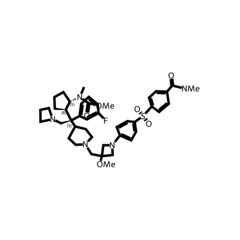 CNC(=O)c1ccc(S(=O)(=O)c2ccc(N3CC(CN4CCC([C@@](CN5CCC5)(c5cccc(F)c5)[C@H]5CCC[C@@H]5N(C)C(=O)OC)CC4)(OC)C3)cc2)cc1